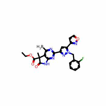 Bc1nc(-c2cc(-c3ccon3)n(Cc3ccccc3F)n2)nc2c1C(C)(C(=O)OCC)C(=O)N2